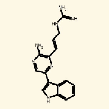 N=C(N)NC/C=C/c1nc(-c2c[nH]c3ccccc23)cnc1N